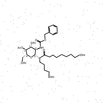 CCCCCCCCCCCCCCCCCC(=O)N(CCCCCCCCCCCCCC)[C@@H]1O[C@H](COC(C)=O)[C@@H](OC(C)=O)[C@H](OC(C)=O)[C@H]1NC(=O)OCc1ccccc1